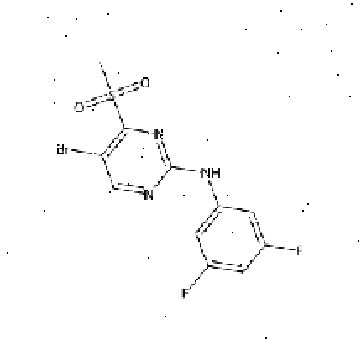 CS(=O)(=O)c1nc(Nc2cc(F)cc(F)c2)ncc1Br